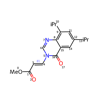 COC(=O)/C=C/n1cnc2c(C(C)C)cc(C(C)C)cc2c1=O